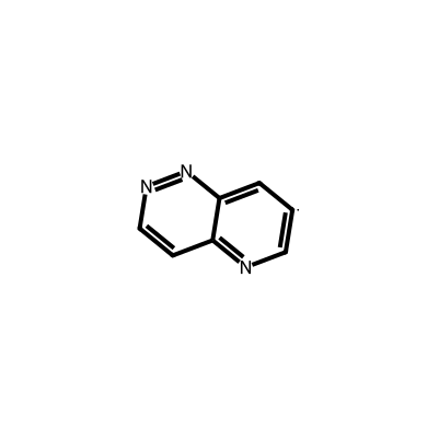 [c]1cnc2ccnnc2c1